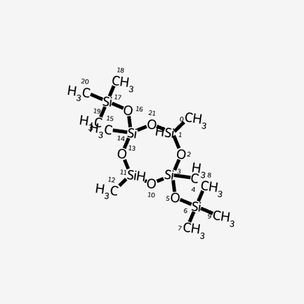 C[SiH]1O[Si](C)(O[Si](C)(C)C)O[SiH](C)O[Si](C)(O[Si](C)(C)C)O1